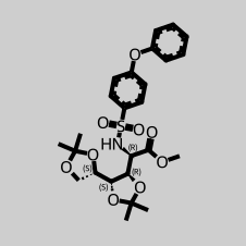 COC(=O)[C@H](NS(=O)(=O)c1ccc(Oc2ccccc2)cc1)[C@H]1OC(C)(C)O[C@@H]1[C@@H]1COC(C)(C)O1